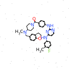 Cc1cc(Nc2ccnc(Nc3ccc(C(=O)N4CCC(N(C)Cc5ccc6c(c5)CCO6)CC4)cc3)n2)ccc1F